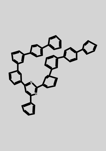 c1ccc(-c2ccc(-c3cccc(-c4cccc(-c5cc(-c6ccccc6)nc(-c6cccc(-c7cccc(-c8ccc(-c9ccccc9)cc8)c7)c6)n5)c4)c3)cc2)cc1